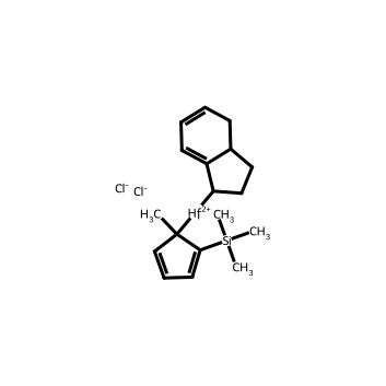 C[C]1([Hf+2][CH]2CCC3CC=CC=C32)C=CC=C1[Si](C)(C)C.[Cl-].[Cl-]